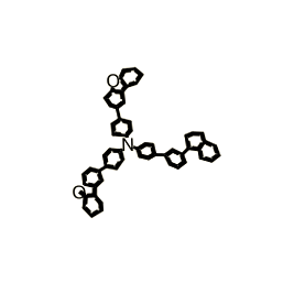 c1cc(-c2ccc(N(c3ccc(-c4ccc5oc6ccccc6c5c4)cc3)c3ccc(-c4ccc5oc6ccccc6c5c4)cc3)cc2)cc(-c2cccc3ccccc23)c1